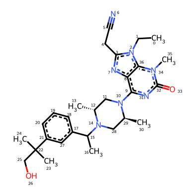 CCn1c(CC#N)nc2c(N3C[C@@H](C)N(C(C)c4cccc(C(C)(C)CO)c4)C[C@@H]3C)nc(=O)n(C)c21